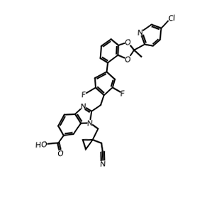 CC1(c2ccc(Cl)cn2)Oc2cccc(-c3cc(F)c(Cc4nc5ccc(C(=O)O)cc5n4CC4(CC#N)CC4)c(F)c3)c2O1